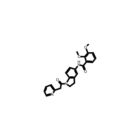 COc1cccc(C(=O)Nc2ccc3c(c2)CCN3C(=O)Cc2ccccn2)c1OC